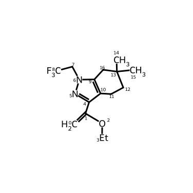 C=C(OCC)c1nn(CC(F)(F)F)c2c1CCC(C)(C)C2